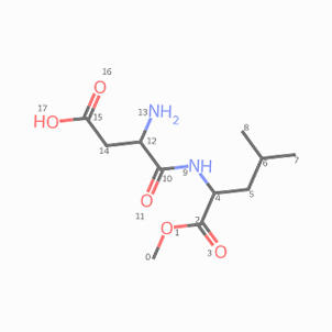 COC(=O)C(CC(C)C)NC(=O)C(N)CC(=O)O